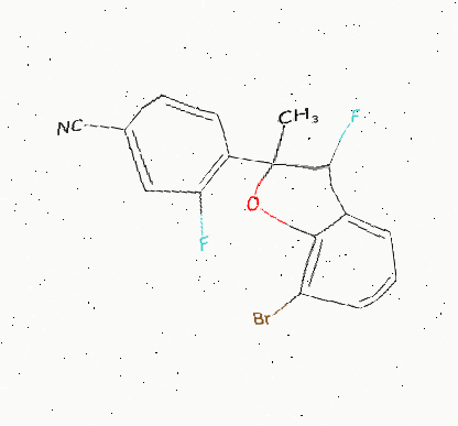 CC1(c2ccc(C#N)cc2F)Oc2c(Br)cccc2C1F